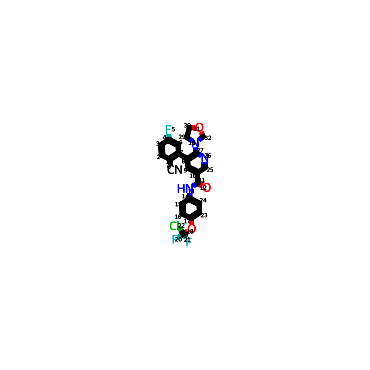 N#Cc1ccc(F)cc1-c1cc(C(=O)Nc2ccc(OC(F)(F)Cl)cc2)cnc1N1CCOC1